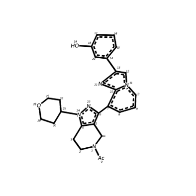 CC(=O)N1CCc2c(c(-c3cccn4cc(-c5cccc(O)c5)nc34)nn2C2CCOCC2)C1